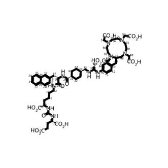 O=C(O)CC[C@H](NC(=O)N[C@@H](CCCCNC(=O)[C@H](Cc1ccc2ccccc2c1)NC(=O)[C@H]1CC[C@H](CNC(=S)Nc2ccc(CC3CN(CC(=O)O)CCN(CC(=O)O)CCN(CC(=O)O)CCN3CC(=O)O)cc2)CC1)C(=O)O)C(=O)O